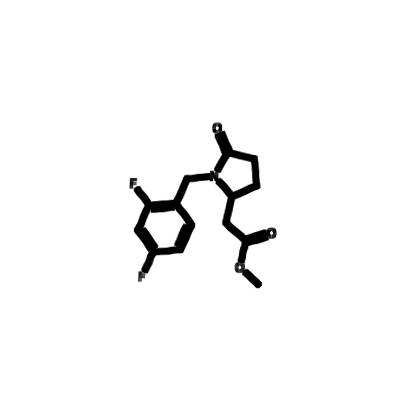 COC(=O)CC1CCC(=O)N1Cc1ccc(F)cc1F